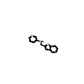 c1cncc(NCc2cc3ccccc3o2)c1